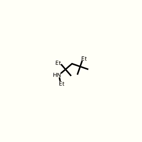 CCNC(C)(CC)CC(C)(C)CC